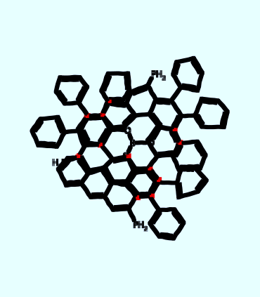 Pc1cc2cc3ccccc3cc2c2c(OB(Oc3c(-c4ccccc4)c(-c4ccccc4)c(-c4ccccc4)c4c(P)cc5cc6ccccc6cc5c34)Oc3c(-c4ccccc4)c(-c4ccccc4)c(-c4ccccc4)c4c(P)cc5cc6ccccc6cc5c34)c(-c3ccccc3)c(-c3ccccc3)c(-c3ccccc3)c12